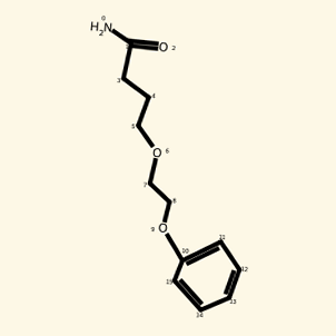 NC(=O)CCCOCCOc1ccccc1